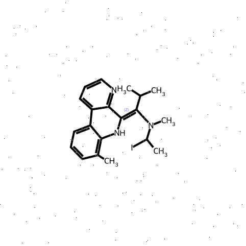 Cc1cccc2c1N/C(=C(/C(C)C)N(C)C(C)I)c1ncccc1-2